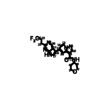 O=C(NC1CCOCC1)c1cnn2ccc(-c3c[nH]c4nc(CCC(F)(F)F)ncc34)cc12